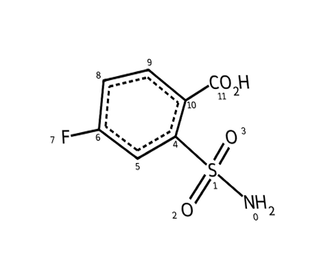 NS(=O)(=O)c1cc(F)ccc1C(=O)O